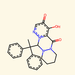 CC(c1ccccc1)(c1ccccc1)C1N2CCCCN2C(=O)c2c(O)c(=O)cnn21